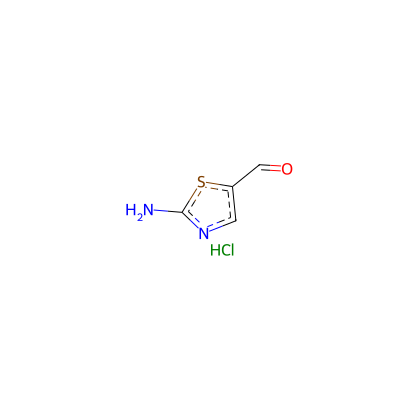 Cl.Nc1ncc(C=O)s1